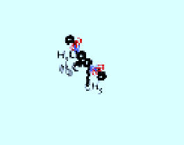 CCCCCC/C(=N\OC(=O)c1ccccc1)c1ccc2c(c1)C(CC)(CC)c1cc(/C(C)=N/OC(=O)c3ccccc3)ccc1-2